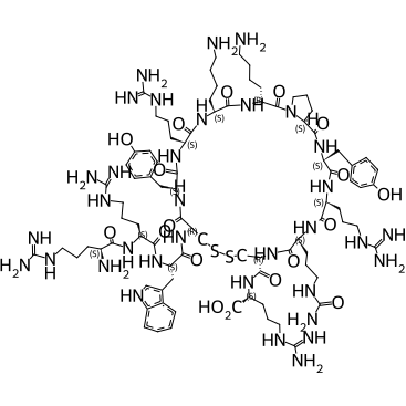 N=C(N)NCCC[C@H](NC(=O)[C@@H]1CSSC[C@H](NC(=O)[C@H](Cc2c[nH]c3ccccc23)NC(=O)[C@H](CCCNC(=N)N)NC(=O)[C@@H](N)CCCNC(=N)N)C(=O)N[C@@H](Cc2ccc(O)cc2)C(=O)N[C@@H](CCCNC(=N)N)C(=O)N[C@@H](CCCCN)C(=O)N[C@H](CCCCN)C(=O)N2CCC[C@H]2C(=O)N[C@@H](Cc2ccc(O)cc2)C(=O)N[C@@H](CCCNC(=N)N)C(=O)N[C@@H](CCCNC(N)=O)C(=O)N1)C(=O)O